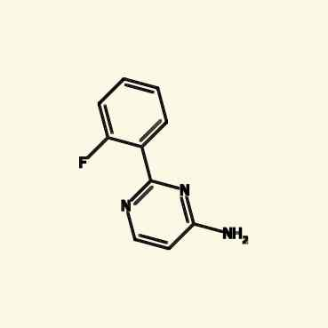 Nc1ccnc(-c2ccccc2F)n1